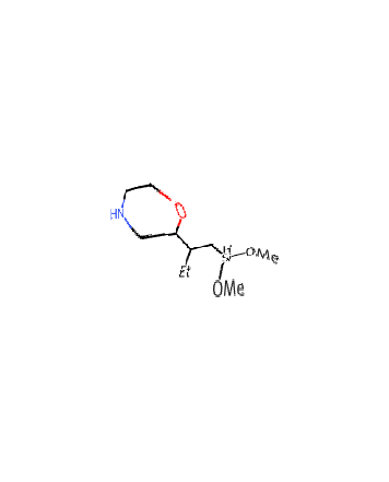 CCC(C[SiH](OC)OC)C1CNCCO1